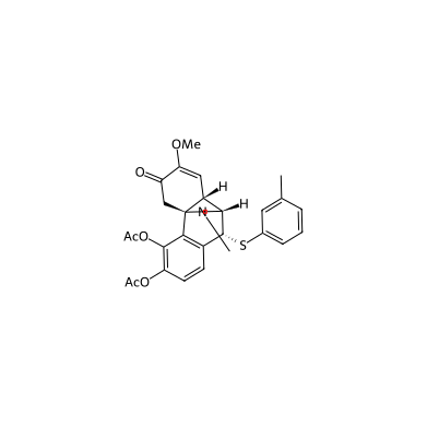 COC1=C[C@@H]2[C@@H]3[C@H](Sc4cccc(C)c4)c4ccc(OC(C)=O)c(OC(C)=O)c4[C@@]2(CC1=O)CN3C